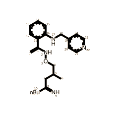 C=C(NOCC(C)CC(=N)CCCC)c1ccccc1NCc1ccncc1